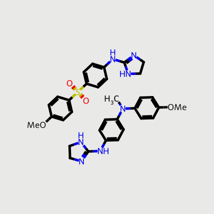 COc1ccc(N(C)c2ccc(NC3=NCCN3)cc2)cc1.COc1ccc(S(=O)(=O)c2ccc(NC3=NCCN3)cc2)cc1